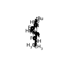 CN(C)CCNc1cc(F)cc(-c2nccc3[nH]c(-c4n[nH]c5c(F)cc(-c6cncc(NC(=O)CC(C)(C)C)c6)cc45)nc23)c1